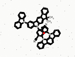 CC1(C)c2ccccc2-c2cc3c4cc(-n5c6ccccc6c6ccccc65)ccc4n(-c4cc(C#N)c(-n5c6ccccc6c6ccc7c8ccccc8n(-c8ccccc8)c7c65)cc4C#N)c3cc21